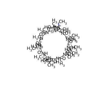 C/C=C/C[C@@H](C)[C@@H](O)[C@H]1C(=O)N[C@@H](CC)C(=O)N(C)CC(=O)N(C)[C@@H](CC(C)C)C(=O)N[C@@H](C(C)C)C(=O)N(C)[C@@H](CC(C)C)C(=O)N[C@@H](C)C(=O)N[C@H](C)C(=O)N(C)[C@@H](CC(C)C)C(=O)N(C)[C@@H](CC(C)C)C(=O)N(C)[C@@H](C(C)C)C(=O)N1C.C=CCl